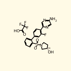 Nc1cnc(-c2ccc(-c3ccccc3S(=O)(=O)N3CC[C@H](O)C3)cc2F)cn1.O=C(O)C(F)(F)F